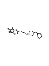 O=c1[nH]c2ccc(CCCCN3CCC(Cc4ccccc4)CC3)cc2s1